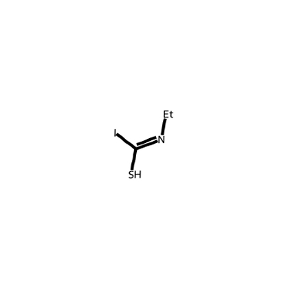 CCN=C(S)I